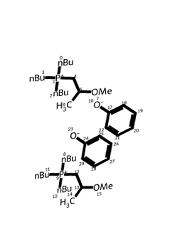 CCCC[P+](CCCC)(CCCC)CC(C)OC.CCCC[P+](CCCC)(CCCC)CC(C)OC.[O-]c1ccccc1.[O-]c1ccccc1